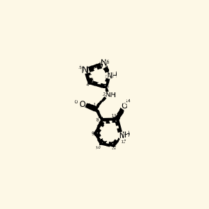 O=C(Nc1cnn[nH]1)c1ccc[nH]c1=O